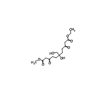 CCOC(=O)CC(=O)CCC(O)(CO)CCC(=O)CC(=O)OC